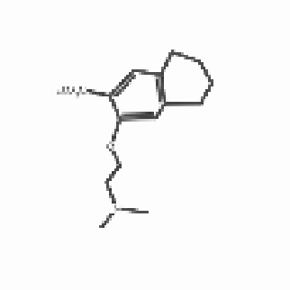 CCOC(=O)c1cc2c(cc1OCCN(C)C)CCCC2